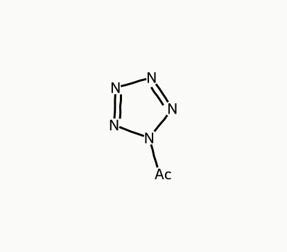 CC(=O)n1nnnn1